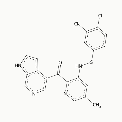 Cc1cnc(C(=O)c2cncc3[nH]ccc23)c(NSc2ccc(Cl)c(Cl)c2)c1